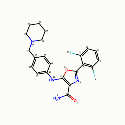 NC(=O)c1nc(-c2c(F)cccc2F)oc1Nc1ccc(CN2CCCCC2)cc1